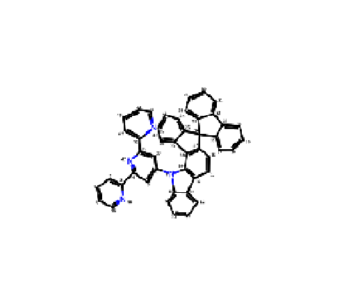 c1ccc(-c2cc(-n3c4ccccc4c4ccc5c(c43)-c3ccccc3C53c4ccccc4-c4ccccc43)cc(-c3ccccn3)n2)nc1